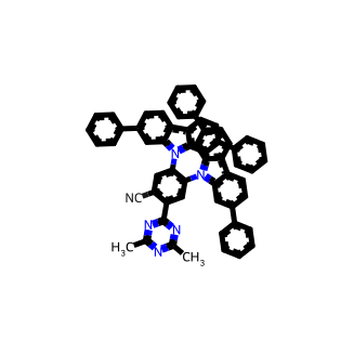 Cc1nc(C)nc(-c2cc(-n3c4cc(-c5ccccc5)ccc4c4ccc(-c5ccccc5)cc43)c(-n3c4cc(-c5ccccc5)ccc4c4ccc(-c5ccccc5)cc43)cc2C#N)n1